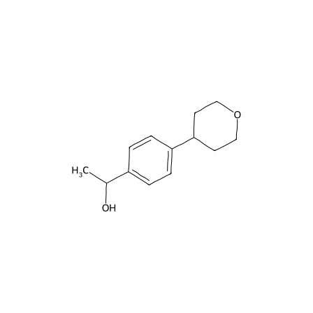 CC(O)c1ccc(C2CCOCC2)cc1